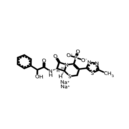 Cc1nnc(C2=C(P(=O)([O-])[O-])N3C(=O)[C@@H](NC(=O)C(O)c4ccccc4)[C@@H]3SC2)s1.[Na+].[Na+]